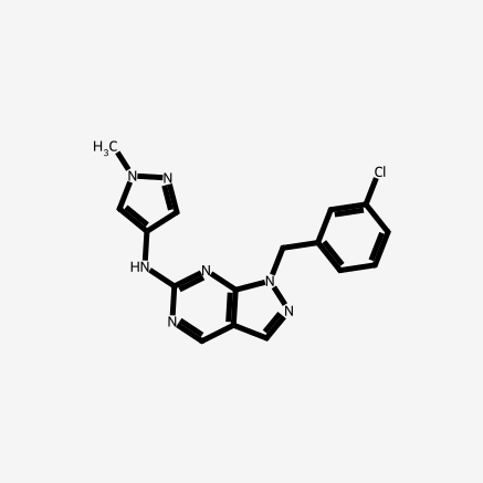 Cn1cc(Nc2ncc3cnn(Cc4cccc(Cl)c4)c3n2)cn1